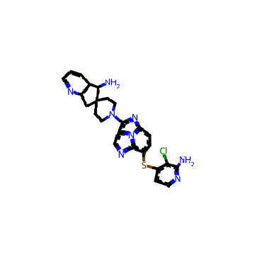 Nc1nccc(Sc2ccc3nc(N4CCC5(CC4)CC4N=CC=CC4C5N)c4cnc2n34)c1Cl